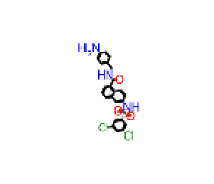 Nc1ccc(CNC(=O)c2cccc3cc(NS(=O)(=O)c4cc(Cl)cc(Cl)c4)ccc23)cc1